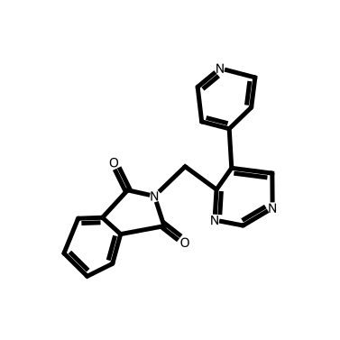 O=C1c2ccccc2C(=O)N1Cc1ncncc1-c1ccncc1